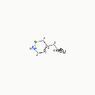 CCCCCC1=CC[N]CC1